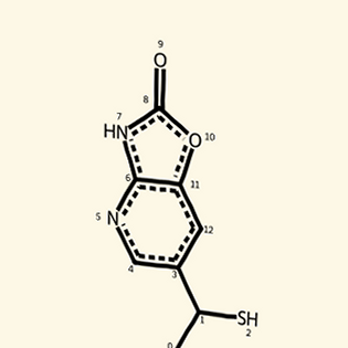 CC(S)c1cnc2[nH]c(=O)oc2c1